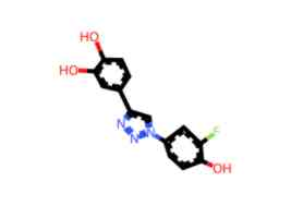 Oc1ccc(-c2cn(-c3ccc(O)c(F)c3)nn2)cc1O